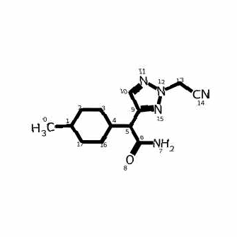 CC1CCC([C](C(N)=O)c2cnn(CC#N)n2)CC1